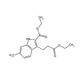 CCOC(=O)CCc1c(C(=O)OCC)[nH]c2cc(C)ccc12